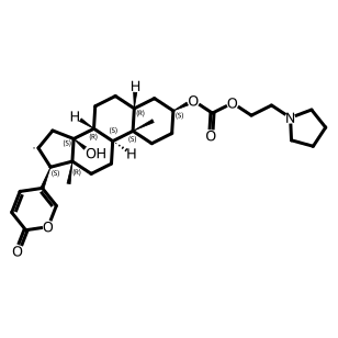 C[C@]12CC[C@H](OC(=O)OCCN3CCCC3)C[C@H]1CC[C@@H]1[C@@H]2CC[C@]2(C)[C@@H](c3ccc(=O)oc3)[CH]C[C@]12O